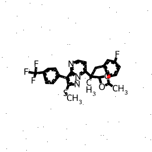 CSc1nn2c(C(C)(Cc3cccc(F)c3)C3OC(C)O3)ccnc2c1-c1ccc(C(F)(F)F)cc1